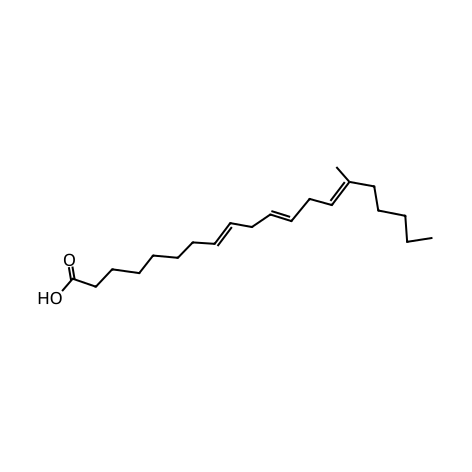 CCCCCC(C)=CCC=CCC=CCCCCCCC(=O)O